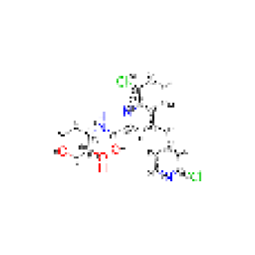 O=C(N[C@H]1CCOC[C@@H]1O)c1cc(Cc2ccnc(Cl)c2)c2cccc(Cl)c2n1